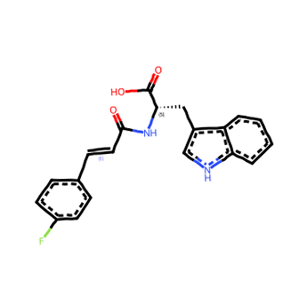 O=C(/C=C/c1ccc(F)cc1)N[C@@H](Cc1c[nH]c2ccccc12)C(=O)O